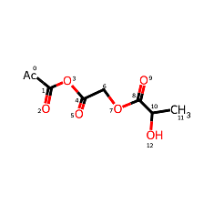 CC(=O)C(=O)OC(=O)COC(=O)C(C)O